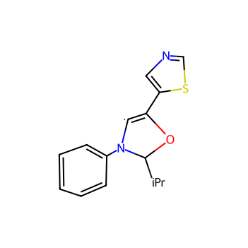 CC(C)C1OC(c2cncs2)=[C]N1c1ccccc1